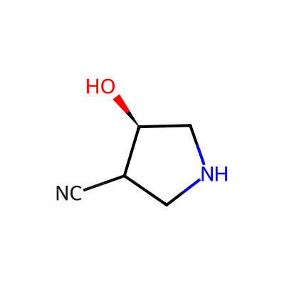 N#CC1CNC[C@@H]1O